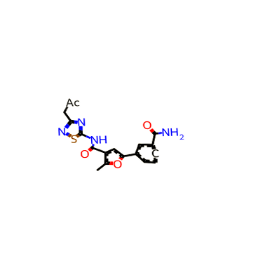 CC(=O)Cc1nsc(NC(=O)c2cc(-c3cccc(C(N)=O)c3)oc2C)n1